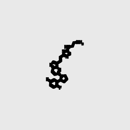 NCCNc1nc(C=Cc2cnc3ccc(N4CCCC4c4cc(F)ccc4F)nn23)no1